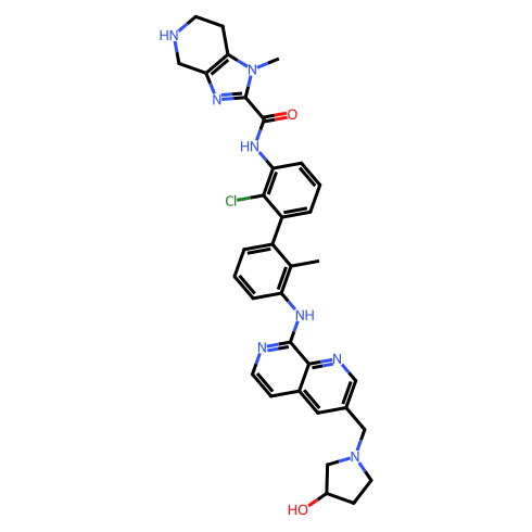 Cc1c(Nc2nccc3cc(CN4CCC(O)C4)cnc23)cccc1-c1cccc(NC(=O)c2nc3c(n2C)CCNC3)c1Cl